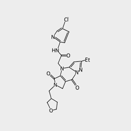 CCc1cc2n(CC(=O)Nc3ccc(Cl)cn3)c3c(c(=O)n2n1)CN(CC1CCOC1)C3=O